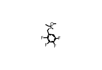 CO[Si](C)(C)Cc1cc(F)c(F)c(F)c1F